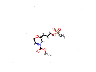 CCCCOC(=O)N1CCOC(CCCOS(C)(=O)=O)C1